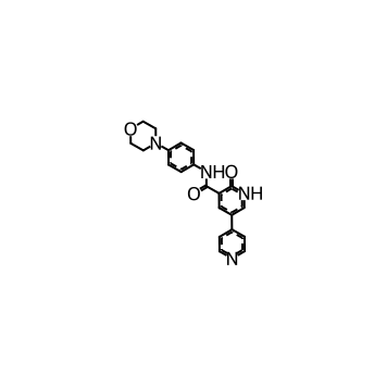 O=C(Nc1ccc(N2CCOCC2)cc1)c1cc(-c2ccncc2)c[nH]c1=O